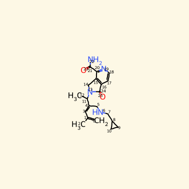 C=C(C)/C=C(\CNCC1CC1)C(C)N1Cc2c(ccnc2C(N)=O)C1=O